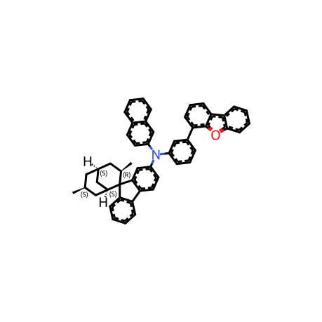 C[C@H]1C[C@@H]2C[C@H](C1)C1(c3ccccc3-c3ccc(N(c4cccc(-c5cccc6c5oc5ccccc56)c4)c4ccc5ccccc5c4)cc31)[C@H](C)C2